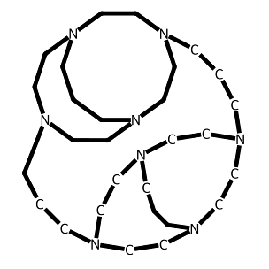 C1CN2CCN3CCCN4CCN5CCCN(CC4)CCN(CCCN(CC2)CCN(C1)CC3)CC5